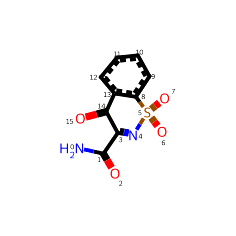 NC(=O)C1=NS(=O)(=O)c2ccccc2C1=O